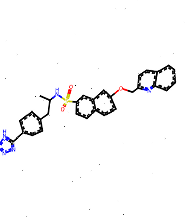 CC(Cc1ccc(-c2nnn[nH]2)cc1)NS(=O)(=O)c1ccc2ccc(OCc3ccc4ccccc4n3)cc2c1